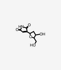 O=C1C=C(C2CC(O)C(CO)O2)C(=O)N1